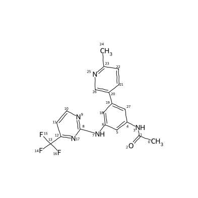 CC(=O)Nc1cc(Nc2nccc(C(F)(F)F)n2)cc(-c2ccc(C)nc2)c1